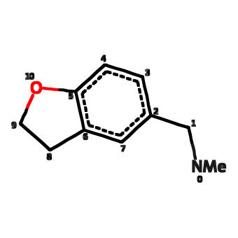 CNCc1ccc2c(c1)CCO2